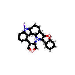 In1c2cccc3c4cocc4n4c5c6ccccc6oc5c5ccc1c(c32)c54